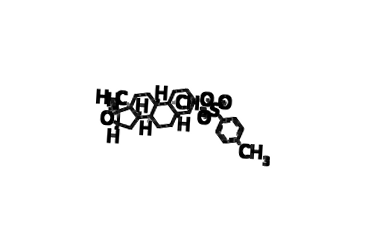 Cc1ccc(S(=O)(=O)O[C@H]2CC[C@@]3(C)[C@@H](CC[C@@H]4[C@@H]3CC[C@@]3(C)[C@H]4C[C@@H]4O[C@@H]43)C2)cc1